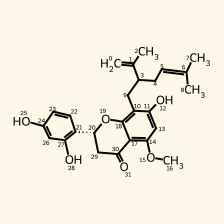 C=C(C)C(CC=C(C)C)Cc1c(O)cc(OC)c2c1O[C@@H](c1ccc(O)cc1O)CC2=O